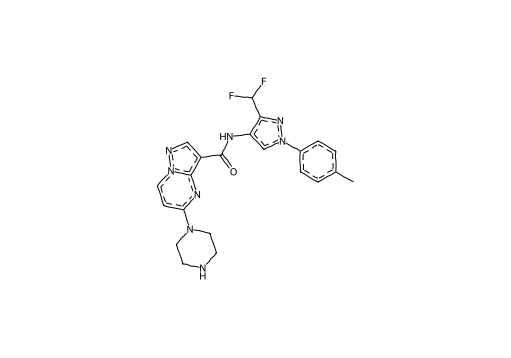 Cc1ccc(-n2cc(NC(=O)c3cnn4ccc(N5CCNCC5)nc34)c(C(F)F)n2)cc1